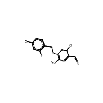 O=CC1=CC(O)=C(OCc2ccc(Cl)cc2F)CC1Cl